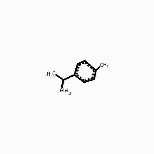 Cc1ccc([CH](C)[AlH2])cc1